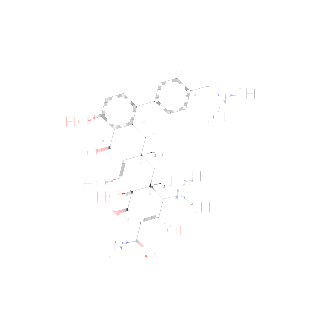 CN(C)Cc1ccc(-c2ccc(O)c3c2C[C@@H]2C[C@@H]4C(N(C)C)C(O)=C(C(N)=O)C(=O)[C@]4(O)C(O)=C2C3=O)cc1